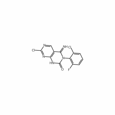 N=c1c2cnc(Cl)nc2[nH]c(=O)n1-c1c(F)cccc1Cl